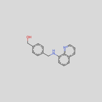 OCc1ccc(CNc2cccc3cccnc23)cc1